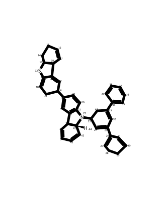 C1=CC2c3cc(C4C=C5C(=CC4)SC4CCC=CC54)ccc3N(C3C=C(C4=CCCC=C4)C=C(c4ccccc4)C3)[C@@H]2C=C1